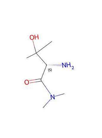 CN(C)C(=O)[C@@H](N)C(C)(C)O